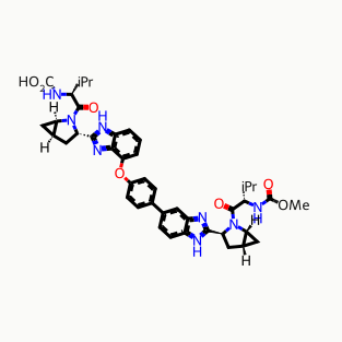 COC(=O)N[C@H](C(=O)N1[C@@H]2C[C@@H]2C[C@H]1c1nc2cc(-c3ccc(Oc4cccc5[nH]c([C@@H]6C[C@H]7C[C@H]7N6C(=O)[C@@H](NC(=O)O)C(C)C)nc45)cc3)ccc2[nH]1)C(C)C